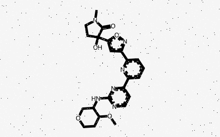 COC1CCOCC1Nc1nccc(-c2cccc(-c3cc(C4(O)CCN(C)C4=O)on3)n2)n1